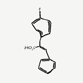 O=C(O)/C(=C\c1ccccc1)c1ccc(F)cc1